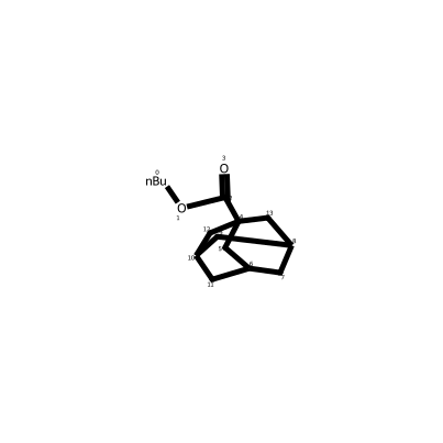 CCCCOC(=O)C12CC3CC(CC(C3)C1)C2